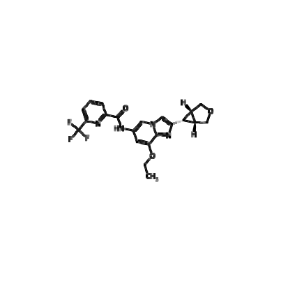 CCOc1cc(NC(=O)c2cccc(C(F)(F)F)n2)cn2cc([C@@H]3[C@@H]4COC[C@@H]43)nc12